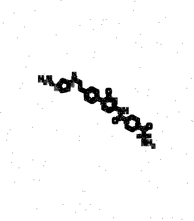 CN(CCc1ccc(-n2ccc(NC(=O)N3CCN(C(=O)C(C)(C)N)CC3)nc2=O)cc1)[C@@H]1CC[C@H](CN)C1